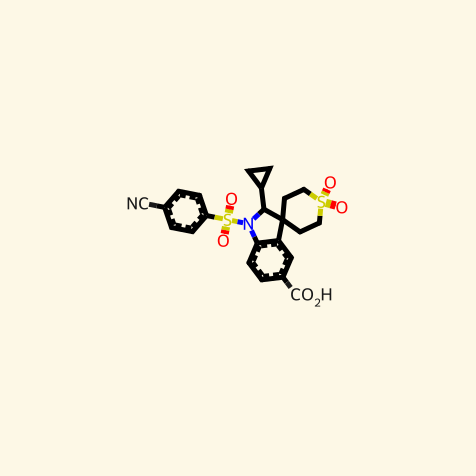 N#Cc1ccc(S(=O)(=O)N2c3ccc(C(=O)O)cc3C3(CCS(=O)(=O)CC3)C2C2CC2)cc1